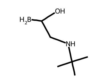 BC(O)CNC(C)(C)C